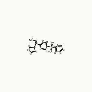 CC(=O)/C=C(/c1ccc(S(=O)(=O)c2ccccc2)cc1)c1ccoc1